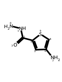 NNC(=O)c1cc(N)cs1